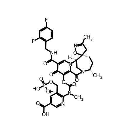 CC1=NO[C@@]2(CC[C@H](C)N3C[C@H]2n2cc(C(=O)NCc4ccc(F)cc4F)c(=O)c(OC(=O)N(C)c4ncc(C(=O)O)cc4COP(=O)(O)O)c2C3=O)C1